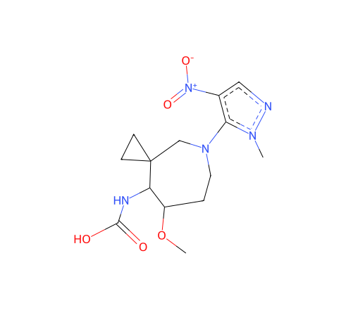 COC1CCN(c2c([N+](=O)[O-])cnn2C)CC2(CC2)C1NC(=O)O